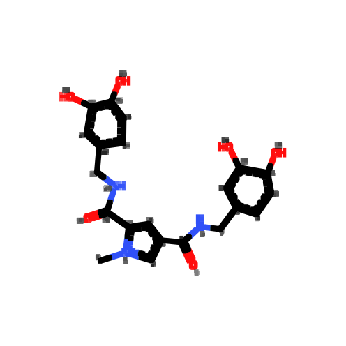 Cn1cc(C(=O)NCc2ccc(O)c(O)c2)cc1C(=O)NCc1ccc(O)c(O)c1